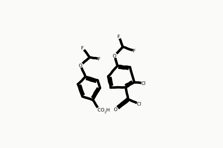 O=C(Cl)c1ccc(OC(F)F)cc1Cl.O=C(O)c1ccc(OC(F)F)cc1